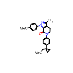 COCC1(c2ccc(N3CCc4c(C(F)(F)F)nn(-c5ccc(OC)cc5)c4C3=O)cc2)CC1